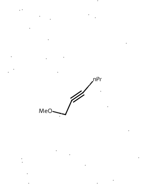 CCCC#CCOC